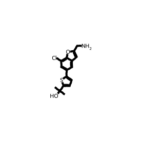 CC(C)(O)c1ccc(-c2cc(Cl)c3oc(CN)cc3c2)s1